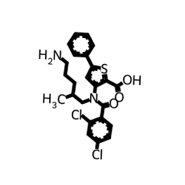 CC(CCCN)CN(C(=O)c1ccc(Cl)cc1Cl)c1cc(-c2ccccc2)sc1C(=O)O